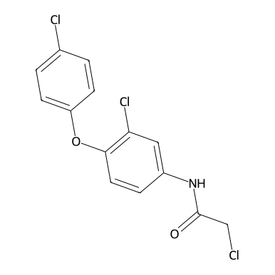 O=C(CCl)Nc1ccc(Oc2ccc(Cl)cc2)c(Cl)c1